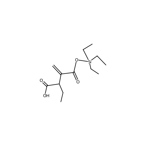 C=C(C(=O)O[Si](CC)(CC)CC)C(CC)C(=O)O